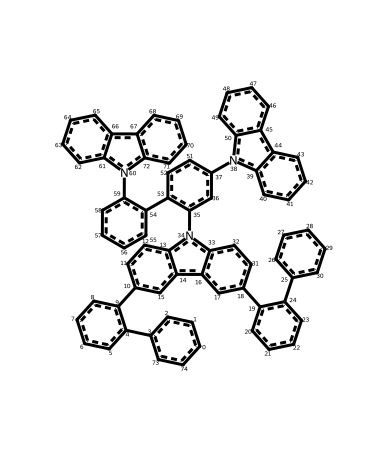 c1ccc(-c2ccccc2-c2ccc3c(c2)c2cc(-c4ccccc4-c4ccccc4)ccc2n3-c2cc(-n3c4ccccc4c4ccccc43)ccc2-c2ccccc2-n2c3ccccc3c3ccccc32)cc1